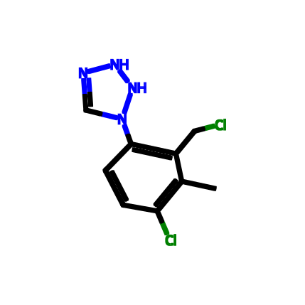 Cc1c(Cl)ccc(N2C=NNN2)c1CCl